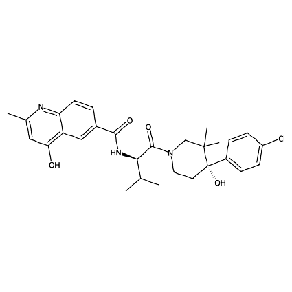 Cc1cc(O)c2cc(C(=O)N[C@@H](C(=O)N3CC[C@](O)(c4ccc(Cl)cc4)C(C)(C)C3)C(C)C)ccc2n1